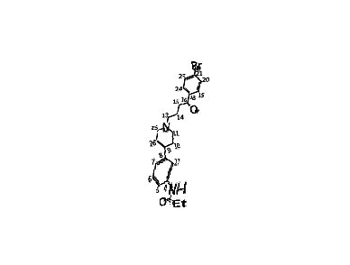 CCC(=O)Nc1cccc(C2CCN(CCCC(=O)c3ccc(Br)cc3)CC2)c1